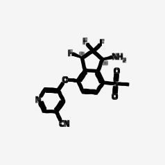 CS(=O)(=O)c1ccc(Oc2cncc(C#N)c2)c2c1[C@H](N)C(F)(F)[C@@H]2F